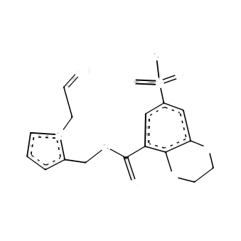 C=CCn1cccc1CNC(=O)c1cc(S(N)(=O)=O)cc2c1OCCO2